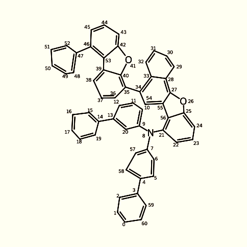 c1ccc(-c2ccc(N(c3cccc(-c4ccccc4)c3)c3cccc4oc5c6ccccc6c(-c6cccc7c6oc6cccc(-c8ccccc8)c67)cc5c34)cc2)cc1